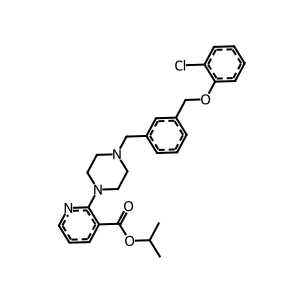 CC(C)OC(=O)c1cccnc1N1CCN(Cc2cccc(COc3ccccc3Cl)c2)CC1